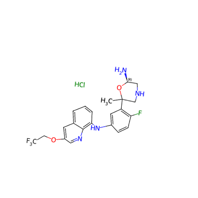 CC1(c2cc(Nc3cccc4cc(OCC(F)(F)F)cnc34)ccc2F)CNC[C@H](N)O1.Cl